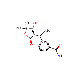 CCCC1(CCC)OC(=O)C(C(c2cccc(C(N)=O)c2)C(C)(C)C)=C1O